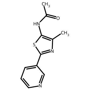 CC(=O)Nc1sc(-c2cccnc2)nc1C